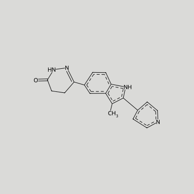 Cc1c(-c2ccncc2)[nH]c2ccc(C3=NNC(=O)CC3)cc12